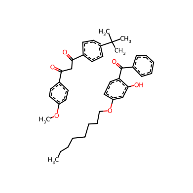 CCCCCCCCOc1ccc(C(=O)c2ccccc2)c(O)c1.COc1ccc(C(=O)CC(=O)c2ccc(C(C)(C)C)cc2)cc1